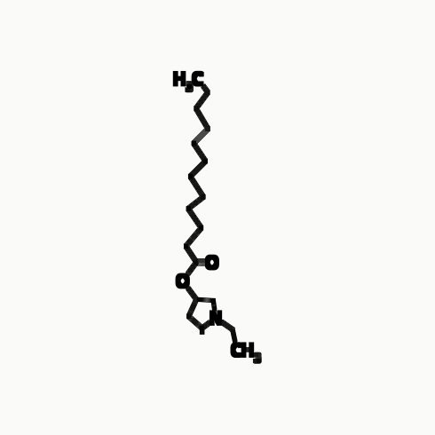 CCCCCCCCCCCC(=O)OC1C[CH]N(CC)C1